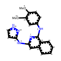 COc1ccc(Nc2nc(Nc3cc[nH]n3)cc3ccccc23)cc1OC